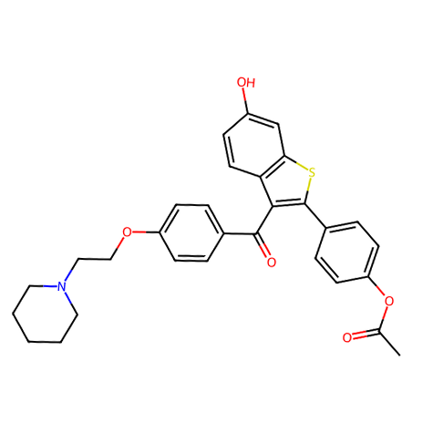 CC(=O)Oc1ccc(-c2sc3cc(O)ccc3c2C(=O)c2ccc(OCCN3CCCCC3)cc2)cc1